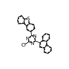 Clc1nc(-c2ccc3sc4ccccc4c3c2)nc(-c2cc3ccccc3c3ccccc23)n1